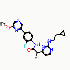 CCC(C(=O)Nc1ccc(-c2cncc(OC(C)C)n2)cc1F)c1ccnc(NCCC2CC2)n1